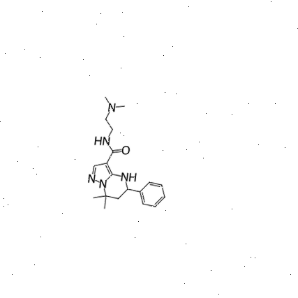 CN(C)CCNC(=O)c1cnn2c1NC(c1ccccc1)CC2(C)C